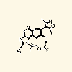 Cc1cc2c(cc1-c1c(C)noc1C)ncc1nc(C3CC3)n([C@@H](C)COC(F)F)c12